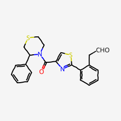 O=CCc1ccccc1-c1nc(C(=O)N2CCSCC2c2ccccc2)cs1